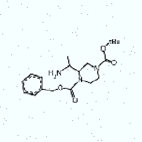 CC(N)C1CN(C(=O)OC(C)(C)C)CCN1C(=O)OCc1ccccc1